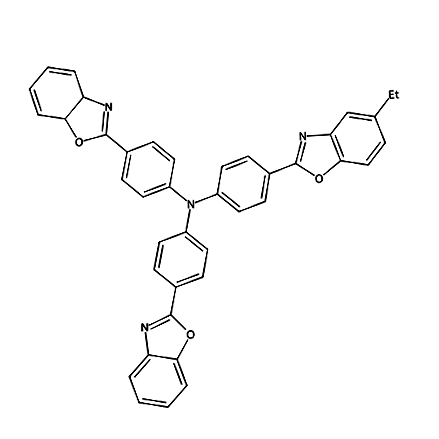 CCc1ccc2oc(-c3ccc(N(c4ccc(C5=NC6C=CC=CC6O5)cc4)c4ccc(-c5nc6ccccc6o5)cc4)cc3)nc2c1